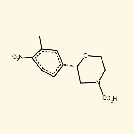 Cc1cc([C@H]2CN(C(=O)O)CCO2)ccc1[N+](=O)[O-]